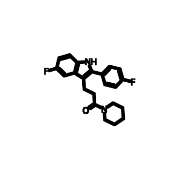 O=C(CCc1c(-c2ccc(F)cc2)[nH]c2ccc(F)cc12)N1CCCCC1